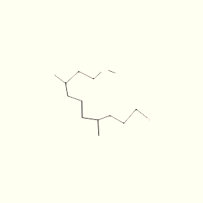 CCC(CCCC(C)CCCC(C)C)CCOS(=O)(=O)O